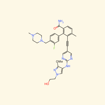 COc1nn(CCO)cc1Nc1ncc(C#Cc2c(C)ccc(C(N)=O)c2-c2ccc(CN3CCN(C)CC3)c(F)c2)cn1